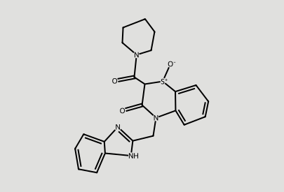 O=C(C1C(=O)N(Cc2nc3ccccc3[nH]2)c2ccccc2[S+]1[O-])N1CCCCC1